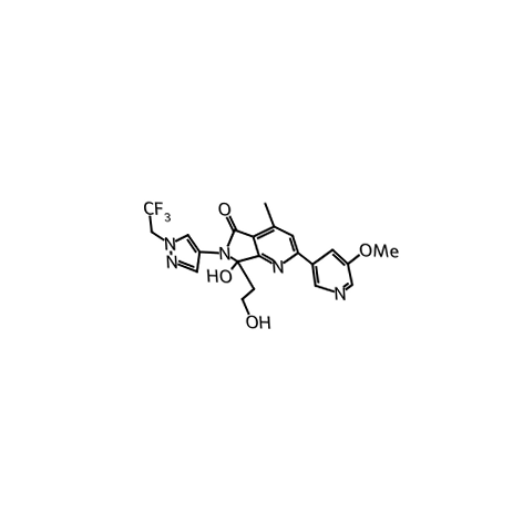 COc1cncc(-c2cc(C)c3c(n2)C(O)(CCO)N(c2cnn(CC(F)(F)F)c2)C3=O)c1